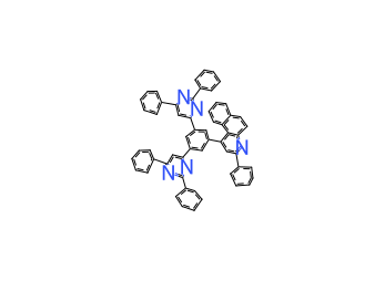 c1ccc(-c2cc(-c3cc(-c4cc(-c5ccccc5)nc(-c5ccccc5)n4)cc(-c4cc(-c5ccccc5)nc5ccc6ccccc6c45)c3)nc(-c3ccccc3)n2)cc1